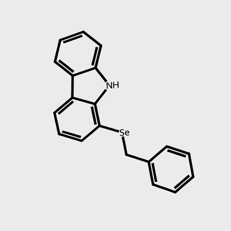 c1ccc(C[Se]c2cccc3c2[nH]c2ccccc23)cc1